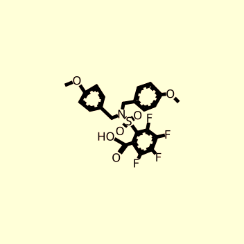 COc1ccc(CN(Cc2ccc(OC)cc2)S(=O)(=O)c2c(F)c(F)c(F)c(F)c2C(=O)O)cc1